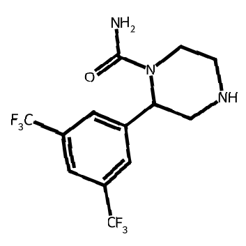 NC(=O)N1CCNCC1c1cc(C(F)(F)F)cc(C(F)(F)F)c1